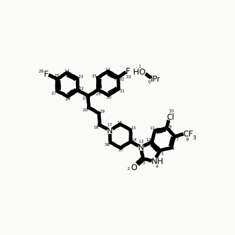 CC(C)O.O=c1[nH]c2cc(C(F)(F)F)c(Cl)cc2n1C1CCN(CCCC(c2ccc(F)cc2)c2ccc(F)cc2)CC1